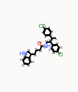 CC(c1ccc(Cl)cc1)C(CNC(=O)CCCC1CNc2ccccc21)c1ccc(Cl)cc1